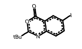 CC(C)(C)c1nc2ccc(I)cc2c(=O)o1